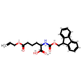 C=CCOC(=O)CCCC(NC(=O)OCC1c2ccccc2-c2ccccc21)C(=O)O